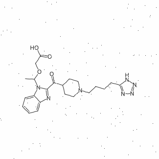 CC(OCC(=O)O)n1c(C(=O)C2CCN(CCCCc3nnn[nH]3)CC2)nc2ccccc21